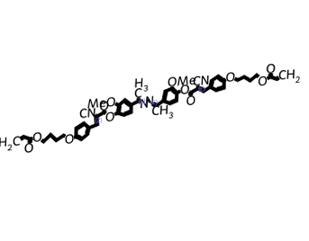 [C-]#[N+]/C(=C\c1ccc(OCCCCOC(=O)C=C)cc1)C(=O)Oc1ccc(/C(C)=N/N=C(\C)c2ccc(OC(=O)/C(C#N)=C/c3ccc(OCCCCOC(=O)C=C)cc3)c(OC)c2)cc1OC